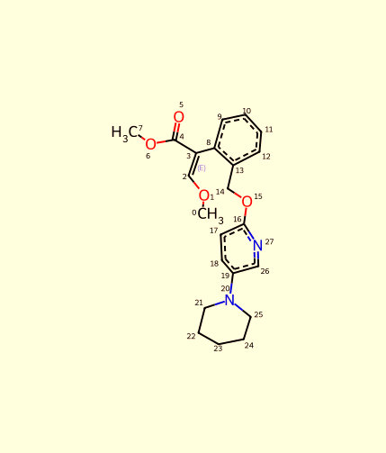 CO/C=C(/C(=O)OC)c1ccccc1COc1ccc(N2CCCCC2)cn1